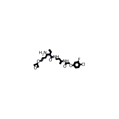 C=C/C(C(=O)NCCC(=C)NC(=O)COc1ccc(Cl)c(F)c1)=C(\N)C/C=C/OC1COC1